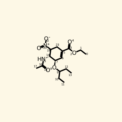 CCOC(=O)C1=C[C@@H](OC(CC)CC)[C@H](NC(C)=O)C([N+](=O)[O-])C1